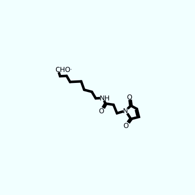 O=[C]CCCCCCCNC(=O)CCN1C(=O)C=CC1=O